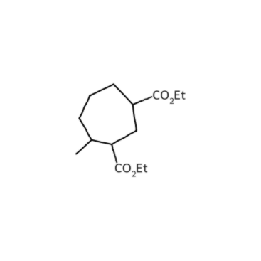 CCOC(=O)C1CCCC(C)C(C(=O)OCC)C1